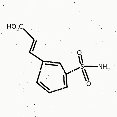 NS(=O)(=O)c1cccc(C=CC(=O)O)c1